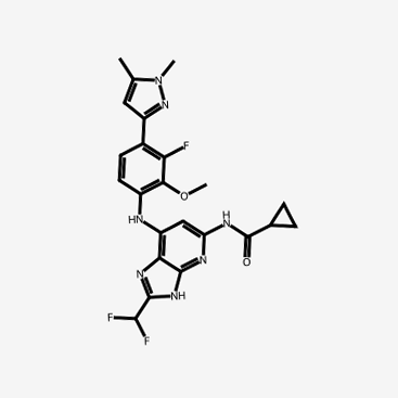 COc1c(Nc2cc(NC(=O)C3CC3)nc3[nH]c(C(F)F)nc23)ccc(-c2cc(C)n(C)n2)c1F